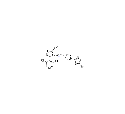 Clc1cncc(Cl)c1-c1noc(C2CC2)c1/C=C/C1C2CN(c3ncc(Br)s3)CC12